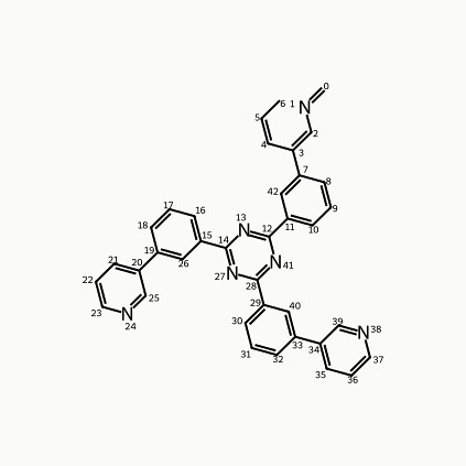 C=N/C=C(\C=C/C)c1cccc(-c2nc(-c3cccc(-c4cccnc4)c3)nc(-c3cccc(-c4cccnc4)c3)n2)c1